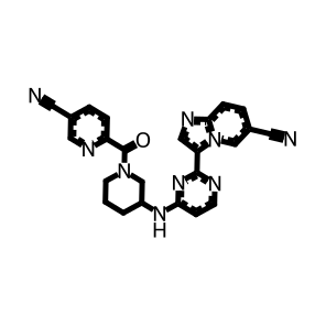 N#Cc1ccc(C(=O)N2CCCC(Nc3ccnc(-c4cnc5ccc(C#N)cn45)n3)C2)nc1